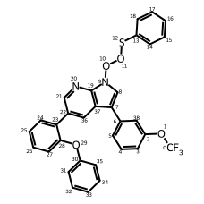 FC(F)(F)Oc1cccc(-c2cn(OOSc3ccccc3)c3ncc(-c4ccccc4Oc4ccccc4)cc23)c1